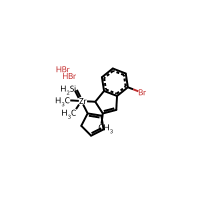 Br.Br.CC1=Cc2c(Br)cccc2[CH]1[Zr]([CH3])([CH3])(=[SiH2])[C]1=CC=CC1